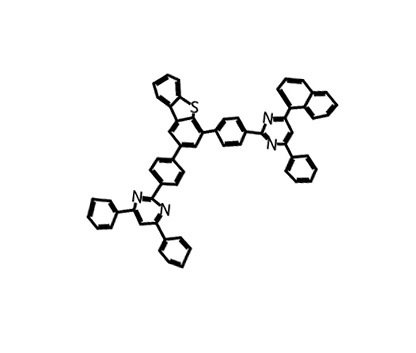 c1ccc(-c2cc(-c3ccccc3)nc(-c3ccc(-c4cc(-c5ccc(-c6nc(-c7ccccc7)cc(-c7cccc8ccccc78)n6)cc5)c5sc6ccccc6c5c4)cc3)n2)cc1